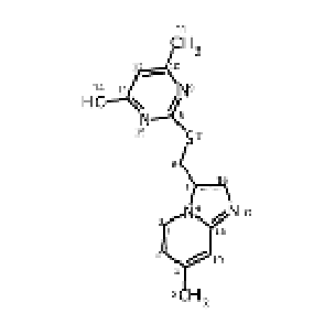 Cc1ccn2c(CSc3nc(C)cc(O)n3)cnc2c1